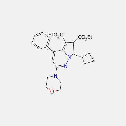 CCOC(=O)C1=C2C(c3ccccc3)=CC(N3CCOCC3)=NN2C(C2CCC2)C1C(=O)OCC